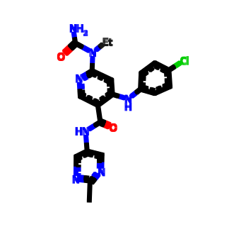 CCN(C(N)=O)c1cc(Nc2ccc(Cl)cc2)c(C(=O)Nc2cnc(C)nc2)cn1